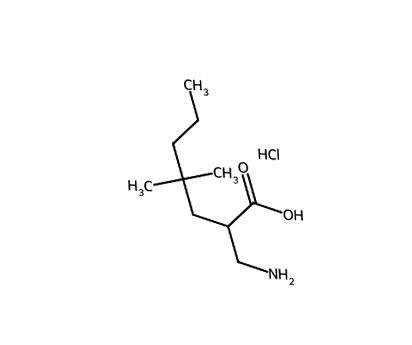 CCCC(C)(C)CC(CN)C(=O)O.Cl